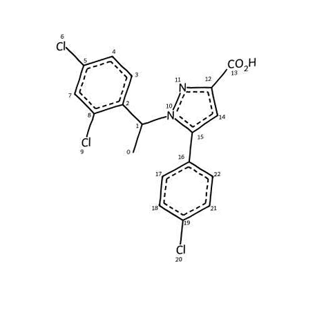 CC(c1ccc(Cl)cc1Cl)n1nc(C(=O)O)cc1-c1ccc(Cl)cc1